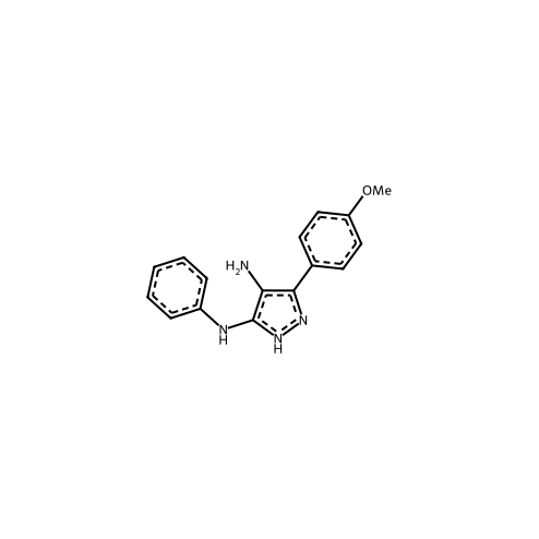 COc1ccc(-c2n[nH]c(Nc3ccccc3)c2N)cc1